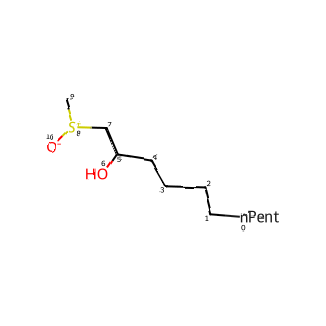 CCCCCCCCCC(O)C[S+](C)[O-]